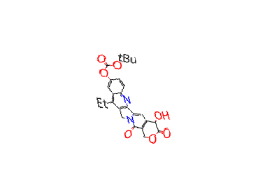 CCc1c2c(nc3ccc(OC(=O)OC(C)(C)C)cc13)-c1cc3c(c(=O)n1C2)COC(=O)C3O